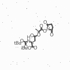 CC(C)COC(=O)[C@H](CC(=O)O[C@@H](C)C(=O)ON1C(=O)CCC1=O)NC(=O)OC(C)(C)C